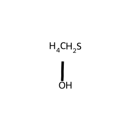 C.CO.S